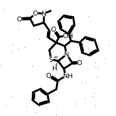 CN1OC(=O)CC1C=CC1(C(=O)O)CS[C@@H]2C(NC(=O)Cc3ccccc3)C(=O)N2C1C(c1ccccc1)c1ccccc1